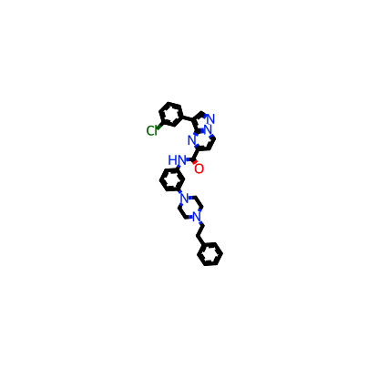 O=C(Nc1cccc(N2CCN(CCc3ccccc3)CC2)c1)c1ccn2ncc(-c3cccc(Cl)c3)c2n1